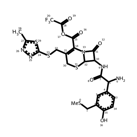 CSCc1cc(C(N)C(=O)NC2C(=O)N3C(C(=O)OC(=O)C(F)(F)F)=C(CSc4nnc(C)s4)CSC23)ccc1O